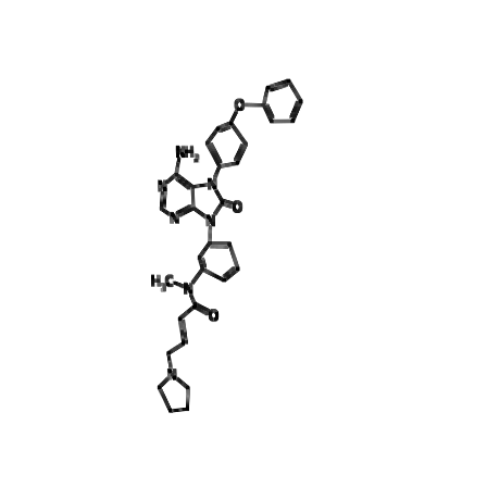 CN(C(=O)C=CCN1CCCC1)c1cccc(-n2c(=O)n(-c3ccc(Oc4ccccc4)cc3)c3c(N)ncnc32)c1